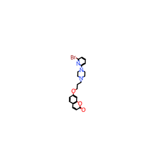 O=c1ccc2ccc(OCCCN3CCN(c4cccc(Br)n4)CC3)cc2o1